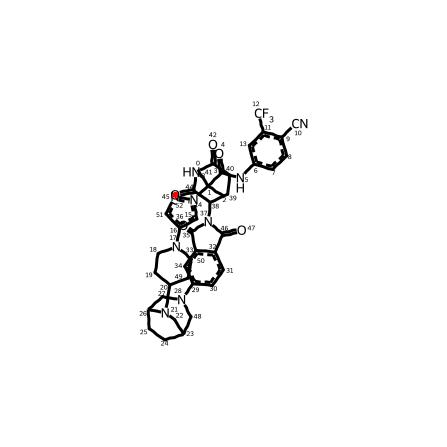 CC(C)(C(=O)Nc1ccc(C#N)c(C(F)(F)F)c1)n1cc(N2CCC(N3CC4CCC3CN(c3ccc5c(c3)C(=O)N(C3CCC(=O)NC3=O)C5=O)C4)CC2)cn1